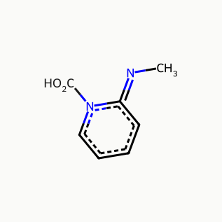 C/N=c1\ccccn1C(=O)O